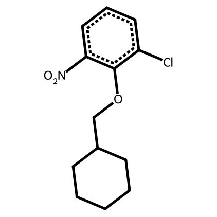 O=[N+]([O-])c1cccc(Cl)c1OCC1CCCCC1